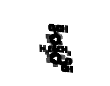 CC(C)(c1ccc(C(=O)O)cc1)c1cccc(C(=O)O)c1